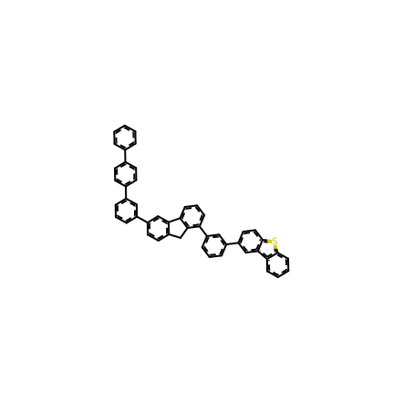 c1ccc(-c2ccc(-c3cccc(-c4ccc5c(c4)-c4cccc(-c6cccc(-c7ccc8sc9ccccc9c8c7)c6)c4C5)c3)cc2)cc1